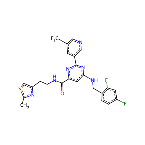 Cc1nc(CCNC(=O)c2cc(NCc3ccc(F)cc3F)nc(-c3cncc(C(F)(F)F)c3)n2)cs1